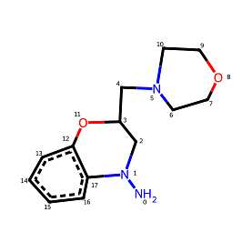 NN1CC(CN2CCOCC2)Oc2ccccc21